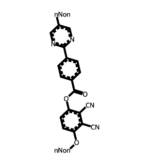 CCCCCCCCCOc1ccc(OC(=O)c2ccc(-c3ncc(CCCCCCCCC)cn3)cc2)c(C#N)c1C#N